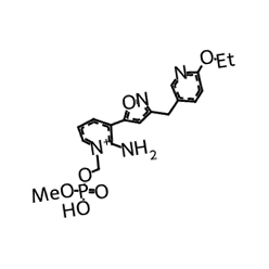 CCOc1ccc(Cc2cc(-c3ccc[n+](COP(=O)(O)OC)c3N)on2)cn1